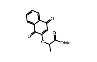 COC(=O)C(C)OC1=CC(=O)c2ccccc2C1=O